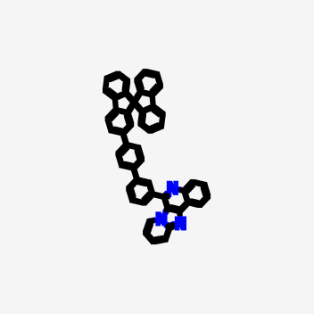 c1cc(-c2ccc(-c3ccc4c(c3)C3(c5ccccc5-c5ccccc53)c3ccccc3-4)cc2)cc(-c2nc3ccccc3c3nc4ccccn4c23)c1